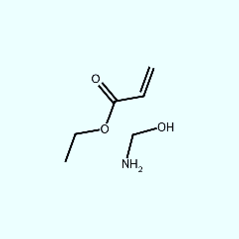 C=CC(=O)OCC.NCO